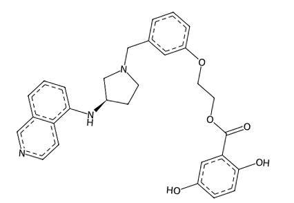 O=C(OCCOc1cccc(CN2CC[C@@H](Nc3cccc4cnccc34)C2)c1)c1cc(O)ccc1O